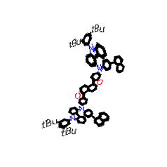 CC(C)(C)c1cc(-n2c3ccccc3c3c(N(c4ccc(-c5cccc6ccccc56)cc4)c4ccc5c(c4)oc4ccc6c(ccc7oc8cc(N(c9ccc(-c%10cccc%11ccccc%10%11)cc9)c9cccc%10c9c9ccccc9n%10-c9cc(C(C)(C)C)cc(C(C)(C)C)c9)ccc8c76)c45)cccc32)cc(C(C)(C)C)c1